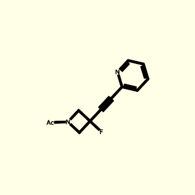 CC(=O)N1CC(F)(C#Cc2ccccn2)C1